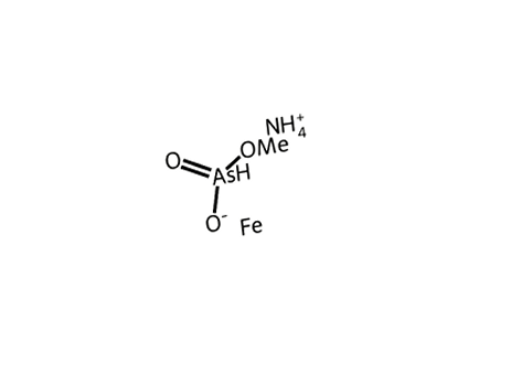 CO[AsH](=O)[O-].[Fe].[NH4+]